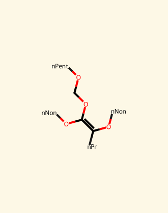 CCCCCCCCCOC(CCC)=C(OCCCCCCCCC)OCOCCCCC